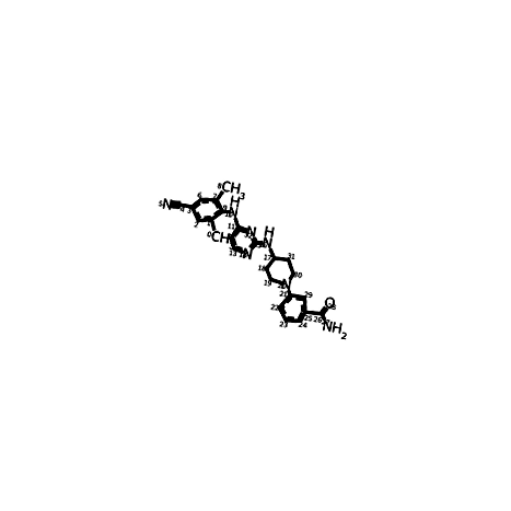 Cc1cc(C#N)cc(C)c1Nc1ccnc(NC2CCN(c3cccc(C(N)=O)c3)CC2)n1